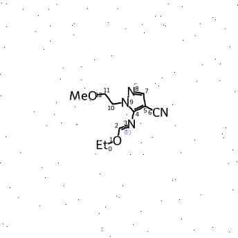 CCO/C=N/c1c(C#N)cnn1CCOC